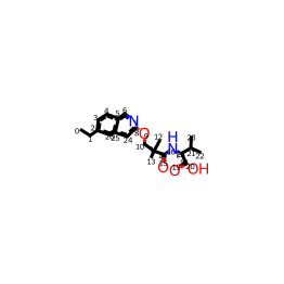 CCc1ccc2cnc(OCC(C)(C)C(=O)N[C@H](C(=O)O)C(C)C)cc2c1